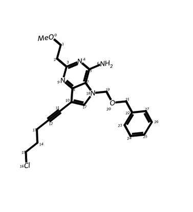 COCCc1nc(N)c2c(n1)c(C#CCCCCl)cn2COCc1ccccc1